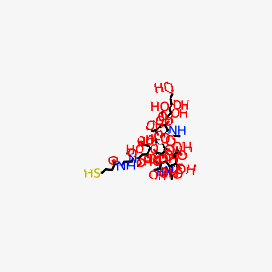 CO[C@@H](O[C@H](CCO)C(O)C(O)[C@@H](OC)N(CCNC(=O)CCCS)OC)C(O)C(O[C@]1(C(=O)O)CC(O)[C@@H](NC(C)=O)C([C@H](O)[C@H](O)CO)O1)[C@H](CCO)O[C@@H]1OC(CO)[C@H](O)C(O[C@H](OC)C(O)C(O)[C@@H](O)CCO)C1NC(C)=O